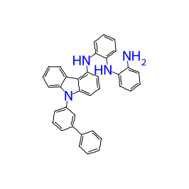 Nc1ccccc1Nc1ccccc1Nc1cccc2c1c1ccccc1n2-c1cccc(-c2ccccc2)c1